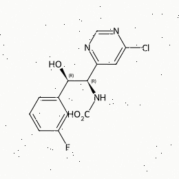 O=C(O)N[C@H](c1cc(Cl)ncn1)[C@H](O)c1cccc(F)c1